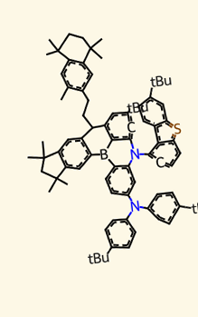 Cc1cc2c(cc1CCC1c3cc4c(cc3B3c5ccc(N(c6ccc(C(C)(C)C)cc6)c6ccc(C(C)(C)C)cc6)cc5N(c5cccc6sc7cc(C(C)(C)C)ccc7c56)c5cc(C(C)(C)C)cc1c53)C(C)(C)CC4(C)C)C(C)(C)CCC2(C)C